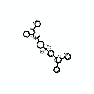 C=C(/N=C(\C=C(/C)c1ccccn1)C1=CCCC=C1)C1=CC=C(C(CC)(CC)c2ccc(-c3nc(-c4ccccc4)cc(-c4ccccn4)n3)cc2)C=CC1